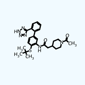 CC(=O)N1CCC(CC(=O)Nc2cc(-c3ccccc3-c3nn[nH]n3)ccc2SC(C)(C)C)CC1